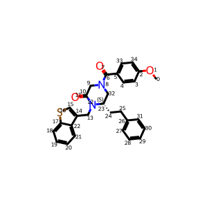 COc1ccc(C(=O)N2CC(=O)N(Cc3csc4ccccc34)[C@@H](CCc3ccccc3)C2)cc1